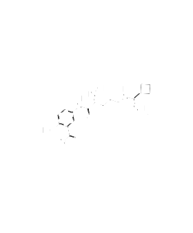 CN[C@@H](CCCNC(N)=C1CCC1)C(=O)Nc1ccc(O)c(C(N)=O)c1